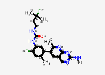 CCNc1ncc2cc(-c3cc(NC(=O)NCCC(C)(C)F)c(F)cc3C)c(C)nc2n1